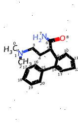 CN(C)CCC(C(N)=O)c1ccccc1-c1ccccc1